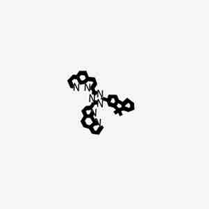 CC1(C)c2ccccc2-c2ccc(-c3nc(-c4ccc5ccc6cccnc6c5n4)nc(-c4ccc5ccc6cccnc6c5n4)n3)cc21